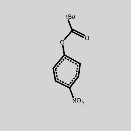 CC(C)(C)C(=O)Oc1ccc([N+](=O)[O-])cc1